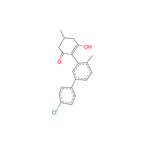 Cc1ccc(-c2ccc(Cl)cc2)cc1C1=C(O)CC(C)CC1=O